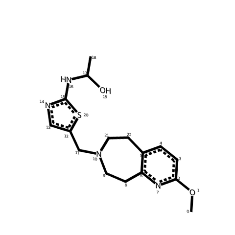 COc1ccc2c(n1)CCN(Cc1cnc(NC(C)O)s1)CC2